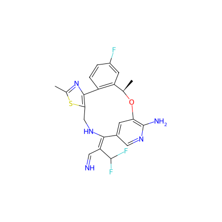 Cc1nc2c(s1)CN/C(=C(\C=N)C(F)F)c1cnc(N)c(c1)O[C@H](C)c1cc(F)ccc1-2